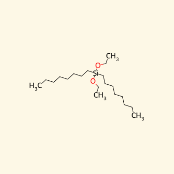 CCCCCCCC[Si](CCCCCCCC)(OCC)OCC